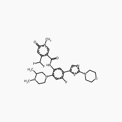 CC1CN(c2cc(F)c(-c3cnc(N4CCOCC4)s3)cc2NC(=O)c2cn(C)c(=O)cc2C(F)F)CCN1C